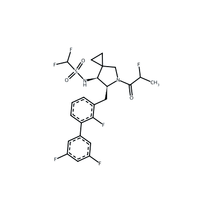 CC(F)C(=O)N1CC2(CC2)[C@H](NS(=O)(=O)C(F)F)[C@@H]1Cc1cccc(-c2cc(F)cc(F)c2)c1F